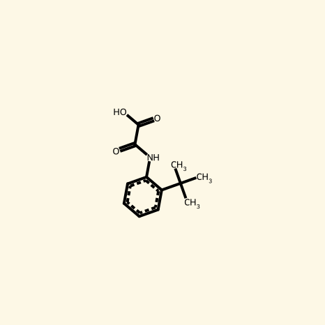 CC(C)(C)c1ccccc1NC(=O)C(=O)O